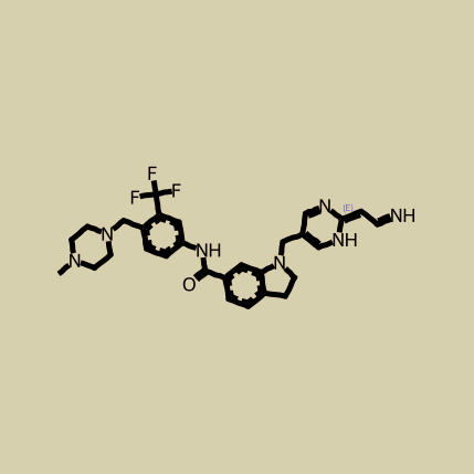 CN1CCN(Cc2ccc(NC(=O)c3ccc4c(c3)N(CC3=CN/C(=C\C=N)N=C3)CC4)cc2C(F)(F)F)CC1